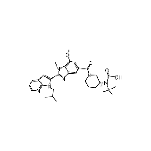 COc1cc(C(=O)N2CCC[C@@H](N(C(=O)O)C(C)(C)C)C2)cc2nc(-c3cc4cccnc4n3CC(C)C)n(C)c12